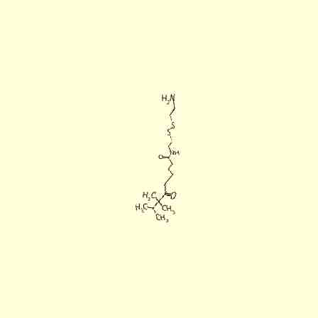 CC(C)C(C)(C)C(=O)CCCCC(=O)NCCSSCCN